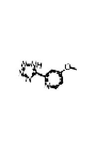 COc1ccnc(-c2nnn[nH]2)c1